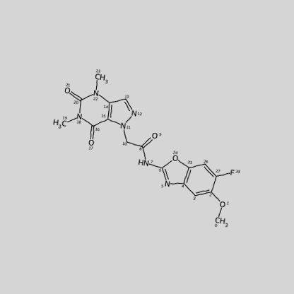 COc1cc2nc(NC(=O)Cn3ncc4c3c(=O)n(C)c(=O)n4C)oc2cc1F